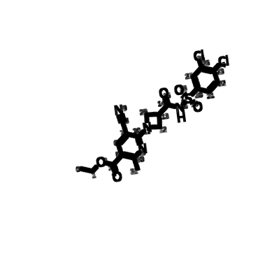 CCOC(=O)c1cc(C#N)c(N2CC(C(=O)NS(=O)(=O)c3ccc(Cl)c(Cl)c3)C2)nc1C